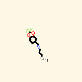 CCCCN=Cc1ccc2c(c1)OC(F)(F)O2